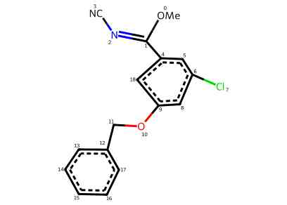 COC(=NC#N)c1cc(Cl)cc(OCc2ccccc2)c1